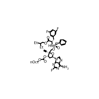 C#C[C@]1(CO[P@@](=O)(N[C@@H](Cc2cc(F)cc(F)c2)C(=O)OCC(CC)CC)Oc2ccccc2)O[C@@H](n2cnc3c(N)nc(F)nc32)C[C@@H]1OC(=O)OCCCCCCCC